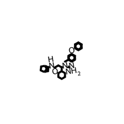 NC1=Nc2ccc(Oc3ccccc3)cc2CN1C(CC(=O)NC1CC2CCC1C2)C1CCCCC1